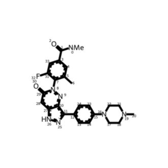 CNC(=O)c1cc(C)c(-n2nc3c(-c4ccc(N5CCN(C)CC5)cc4)n[nH]c3cc2=O)c(F)c1